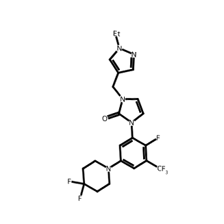 CCn1cc(Cn2ccn(-c3cc(N4CCC(F)(F)CC4)cc(C(F)(F)F)c3F)c2=O)cn1